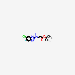 CC(C)OC(=O)CCNc1nnc2cc(F)c(Cl)cc2n1